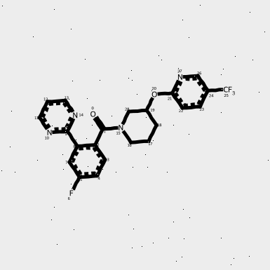 O=C(c1ccc(F)cc1-c1ncccn1)N1CCCC(Oc2ccc(C(F)(F)F)cn2)C1